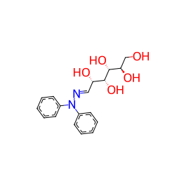 OC[C@@H](O)[C@@H](O)[C@H](O)[C@@H](O)C=NN(c1ccccc1)c1ccccc1